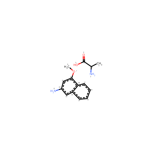 CC(N)C(=O)O.COc1cc(N)cc2ccccc12